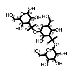 CC(C)(OC1OC(CO)C(O)C(O)C1O)C1C(O)C(CO)CC(OC(C)(C)C2C(O)C(O)OC(CO)C2O)C1O